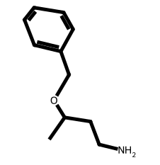 CC(CCN)OCc1ccccc1